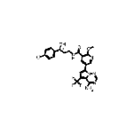 COc1ncc(-c2cc(C(F)(F)F)c3c(N)ncnn23)cc1C(=O)NCC[C@H](O)c1ccc(Cl)cc1